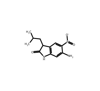 CC(C)CC1C(=O)Nc2cc(N)c([N+](=O)[O-])cc21